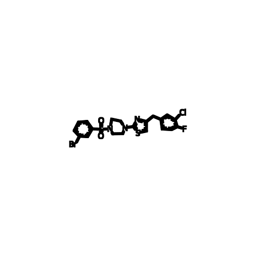 O=S(=O)(c1cccc(Br)c1)N1CCN(c2nc(Cc3ccc(F)c(Cl)c3)cs2)CC1